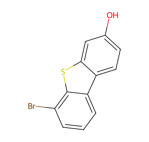 Oc1ccc2c(c1)sc1c(Br)cccc12